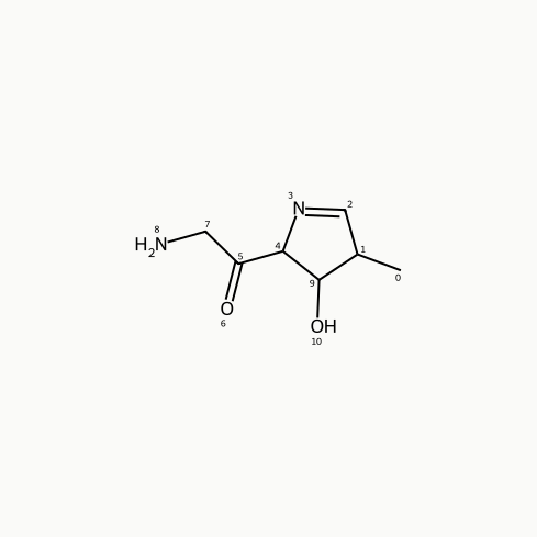 CC1C=NC(C(=O)CN)C1O